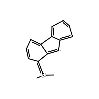 C[Si](C)=c1cccc2c1=[C]c1ccccc1-2